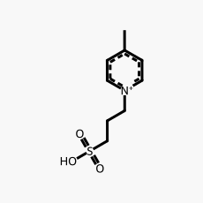 Cc1cc[n+](CCCS(=O)(=O)O)cc1